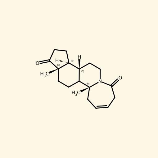 C[C@]12CCC3[C@@H](CCN4C(=O)CC=CC[C@]34C)[C@@H]1CCC2=O